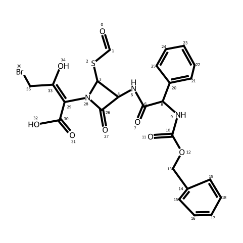 O=CSC1C(NC(=O)C(NC(=O)OCc2ccccc2)c2ccccc2)C(=O)N1C(C(=O)O)=C(O)CBr